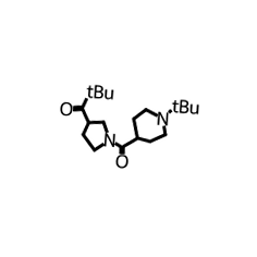 CC(C)(C)C(=O)C1CCN(C(=O)C2CCN(C(C)(C)C)CC2)C1